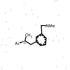 CNCc1cccc(C[C@H](C)C(C)=O)c1